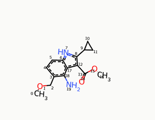 COCc1ccc2[nH]c(C3CC3)c(C(=O)OC)c2c1N